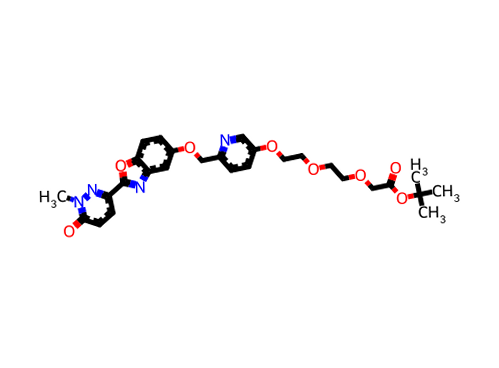 Cn1nc(-c2nc3cc(OCc4ccc(OCCOCCOCC(=O)OC(C)(C)C)cn4)ccc3o2)ccc1=O